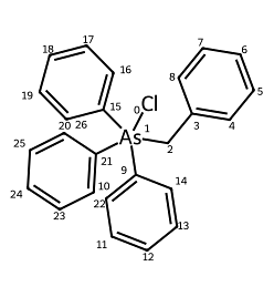 Cl[As](Cc1ccccc1)(c1ccccc1)(c1ccccc1)c1ccccc1